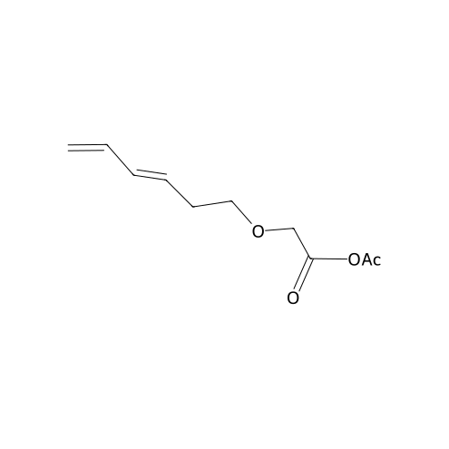 C=CC=CCCOCC(=O)OC(C)=O